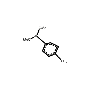 C[O][Al]([O]C)[c]1ccc(C)cc1